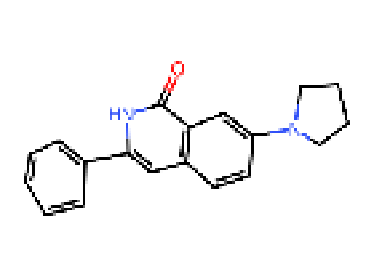 O=c1[nH]c(-c2ccccc2)cc2ccc(N3CCCC3)cc12